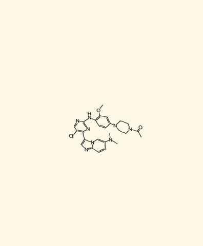 COc1cc(N2CCN(C(C)=O)CC2)ccc1Nc1ncc(Cl)c(-c2cnc3ccc(N(C)C)cn23)n1